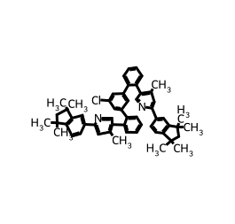 Cc1cc(-c2ccc3c(c2)C(C)(C)CC3(C)C)ncc1-c1ccccc1-c1cc(Cl)cc(-c2ccccc2-c2cnc(-c3ccc4c(c3)C(C)(C)CC4(C)C)cc2C)c1